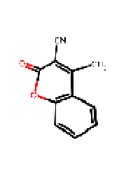 Cc1c(C#N)c(=O)oc2ccc[c]c12